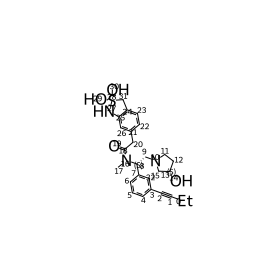 CCC#Cc1cccc([C@@H](CN2CC[C@H](O)C2)N(C)C(=O)Cc2ccc3c(c2)NS(O)(O)C3)c1